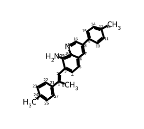 C/C(=C\c1ccc2cc(-c3ccc(C)cc3)cnc2c1N)c1ccc(C)cc1